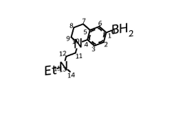 Bc1ccc2c(c1)CCCN2CCN(C)CC